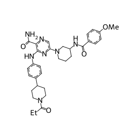 CCC(=O)N1CCC(c2ccc(Nc3nc(N4CCCC(NC(=O)c5ccc(OC)cc5)C4)cnc3C(N)=O)cc2)CC1